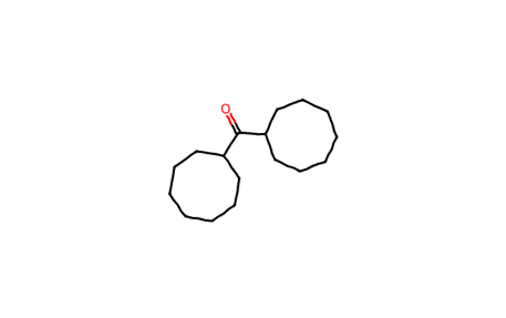 O=C(C1CCCCCCC1)C1CCCCCCC1